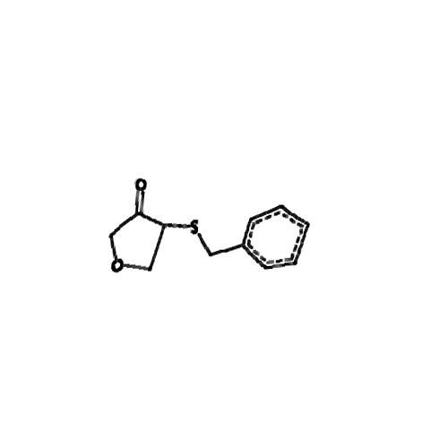 O=C1COCC1SCc1ccccc1